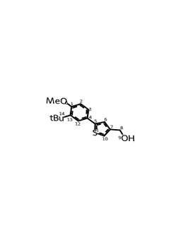 COc1ccc(-c2cc(CO)cs2)cc1C(C)(C)C